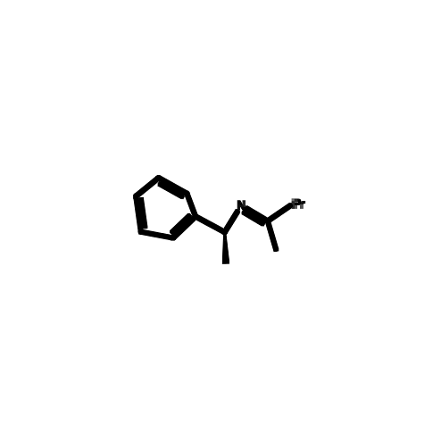 C/C(=N\[C@@H](C)c1ccccc1)C(C)C